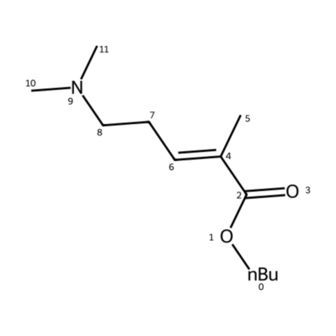 CCCCOC(=O)C(C)=CCCN(C)C